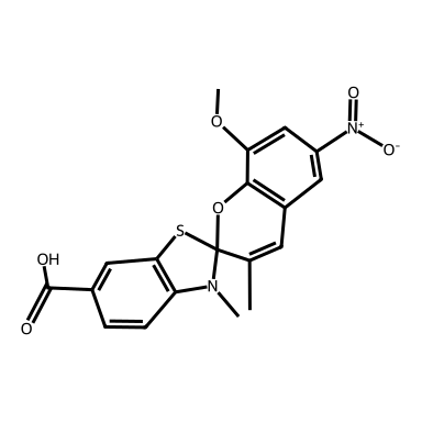 COc1cc([N+](=O)[O-])cc2c1OC1(Sc3cc(C(=O)O)ccc3N1C)C(C)=C2